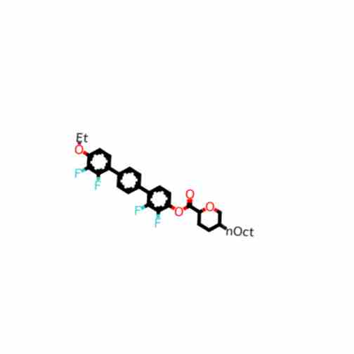 CCCCCCCCC1CCC(C(=O)Oc2ccc(-c3ccc(-c4ccc(OCC)c(F)c4F)cc3)c(F)c2F)OC1